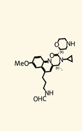 COc1ccc2nc([C@@H](C)N(C(=O)[C@H]3CNCCO3)C3CC3)cc(CCCNC=O)c2c1